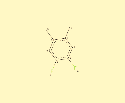 Cc1cc(F)c(F)cc1C